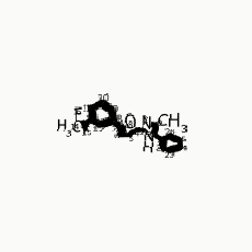 Cc1nc(-c2ccc(-c3cccc(C(C)(F)F)c3)o2)[nH]c1-c1ccccc1